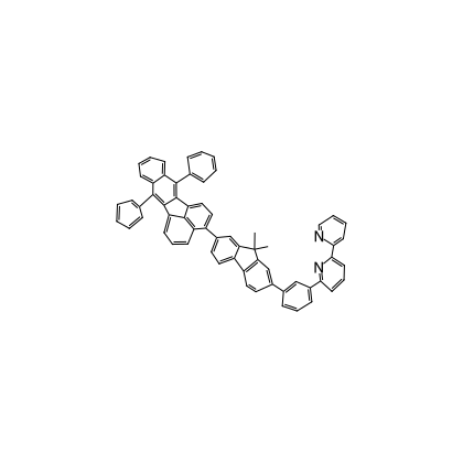 CC1(C)c2cc(-c3cccc(-c4cccc(-c5ccccn5)n4)c3)ccc2-c2ccc(-c3ccc4c5c(cccc35)-c3c-4c(-c4ccccc4)c4ccccc4c3-c3ccccc3)cc21